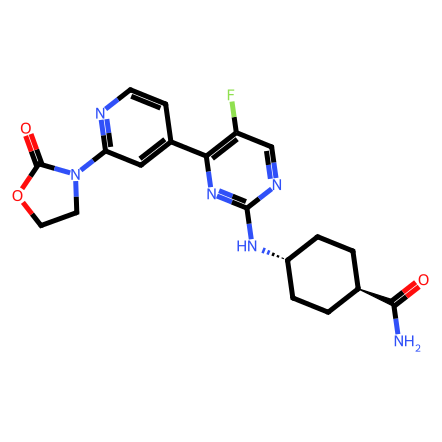 NC(=O)[C@H]1CC[C@H](Nc2ncc(F)c(-c3ccnc(N4CCOC4=O)c3)n2)CC1